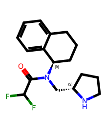 O=C(C(F)F)N(C[C@@H]1CCCN1)[C@@H]1CCCc2ccccc21